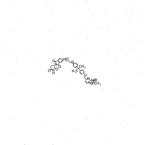 CC(C)(c1ccc(OCCCNc2ccc3c(c2)C(=O)N(C2CCC(=O)NC2=O)C3=O)cc1)c1ccc(OCc2ccnc(NS(C)(=O)=O)n2)cc1